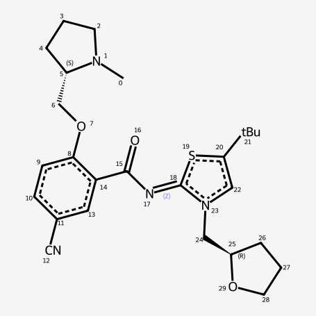 CN1CCC[C@H]1COc1ccc(C#N)cc1C(=O)/N=c1\sc(C(C)(C)C)cn1C[C@H]1CCCO1